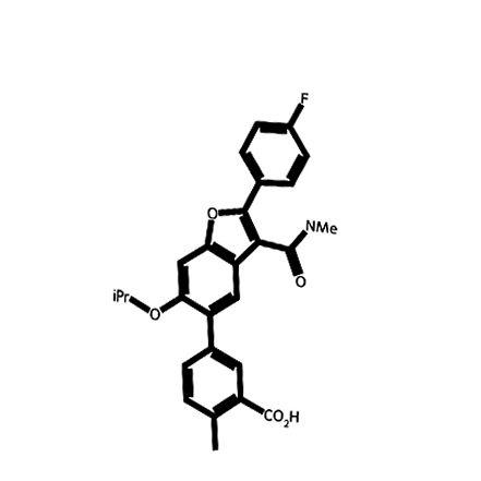 CNC(=O)c1c(-c2ccc(F)cc2)oc2cc(OC(C)C)c(-c3ccc(C)c(C(=O)O)c3)cc12